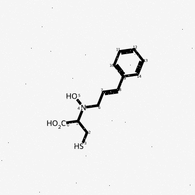 O=C(O)C(CS)N(O)CC=Cc1ccccc1